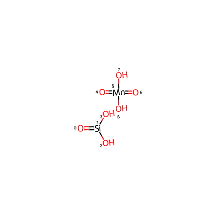 O=[Si](O)O.[O]=[Mn](=[O])([OH])[OH]